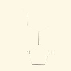 CCCC(C)C1=NCCN1